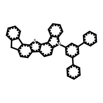 c1ccc(-c2cc(-c3ccccc3)cc(-n3c4ccccc4c4c5sc6c7c(ccc6c5ccc43)Cc3ccccc3-7)c2)cc1